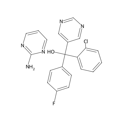 Nc1ncccn1.OC(c1ccc(F)cc1)(c1cncnc1)c1ccccc1Cl